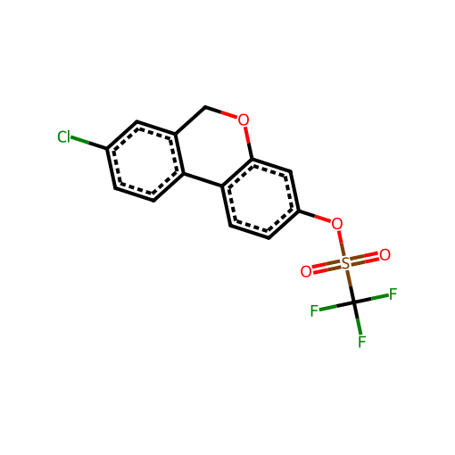 O=S(=O)(Oc1ccc2c(c1)OCc1cc(Cl)ccc1-2)C(F)(F)F